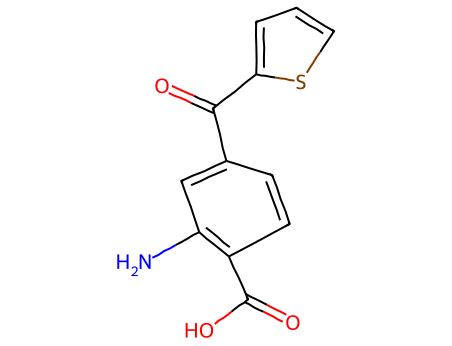 Nc1cc(C(=O)c2cccs2)ccc1C(=O)O